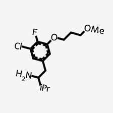 COCCCOc1cc(CC(N)C(C)C)cc(Cl)c1F